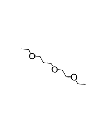 CCOCCCOCCOCC